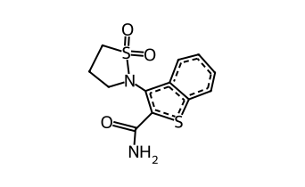 NC(=O)c1sc2ccccc2c1N1CCCS1(=O)=O